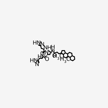 C[C@]12CCCCC1CCC1C2CC[C@]2(C)C(CCC(=O)N[C@H]3C[C@@H](C(=O)NCCc4cnc[nH]4)N(C(=O)C(N)Cc4c[nH]cn4)C3)CCC12